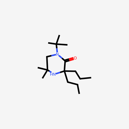 CCCC1(CCC)NC(C)(C)CN(C(C)(C)C)C1=O